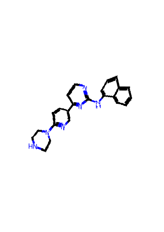 c1ccc2c(Nc3nccc(-c4ccc(N5CCNCC5)nc4)n3)cccc2c1